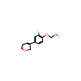 CCOc1ccc(C2=CCCOC2)cc1F